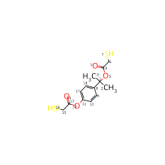 CC(C)(OC(=O)CS)c1ccc(OC(=O)CS)cc1